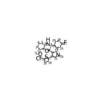 COc1cccc(NC(C(=O)c2cn(C)cc2-c2ccc(Cl)s2)c2ccc(F)cc2)c1